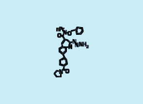 CCCN(OCc1ccccc1)C(=O)C1=Cc2ccc(-c3ccc(C(=O)N4CCCC4)cc3)cc2N=C(N=NN)C1